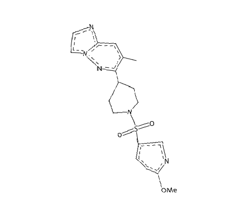 COc1ccc(S(=O)(=O)N2CCC(c3nn4ccnc4cc3C)CC2)cn1